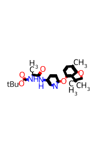 Cc1ccc(Oc2ccc(NC(=O)[C@@H](C)NC(=O)OC(C)(C)C)cn2)c2c1OCC2(C)C